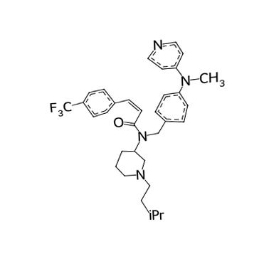 CC(C)CCN1CCCC(N(Cc2ccc(N(C)c3ccncc3)cc2)C(=O)C=Cc2ccc(C(F)(F)F)cc2)C1